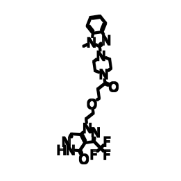 Cn1c(N2CCN(C(=O)CCOCCn3nc(C(F)(F)F)c4c(=O)[nH]ncc43)CC2)nc2ccccc21